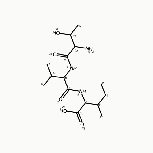 CCC(C)C(NC(=O)C(NC(=O)C(N)C(C)O)C(C)C)C(=O)O